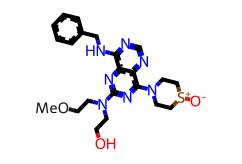 COCCN(CCO)c1nc(N2CC[S+]([O-])CC2)c2ncnc(NCc3ccccc3)c2n1